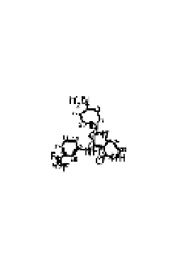 NC1CCN(c2nc(Nc3cccc(C(F)(F)F)c3)c3c(=O)[nH]ccc3n2)CC1